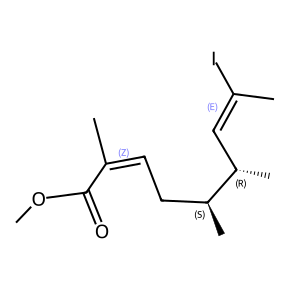 COC(=O)/C(C)=C\C[C@H](C)[C@@H](C)/C=C(\C)I